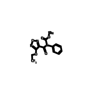 CC(C)(C)OC(=O)N(C(=O)c1nonc1OCC(F)(F)F)c1ccccc1